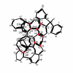 CC1(c2ccccc2)c2ccccc2-c2c(-c3ccccc3N(c3ccccc3-c3cccc4cccc(C5CCCCC5)c34)c3ccccc3-c3cccc4c5ccccc5n(-c5ccccc5)c34)cccc21